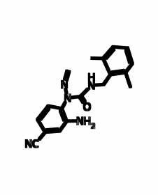 C=NN(C(=O)NCc1c(C)cccc1C)c1ccc(C#N)cc1N